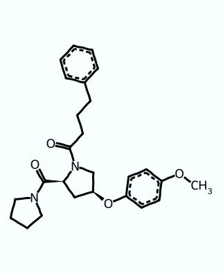 COc1ccc(O[C@H]2C[C@@H](C(=O)N3CCCC3)N(C(=O)CCCc3ccccc3)C2)cc1